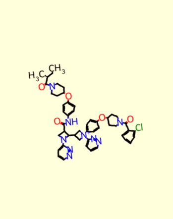 CC[C@H](C)C(=O)N1CCC(Oc2ccc(NC(=O)C3CN(c4cccnn4)C3C3C[N+](c4ccc(OC5CCN(C(=O)c6ccccc6Cl)CC5)cc4)(c4cccnn4)C3)cc2)CC1